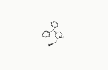 N#CCC1CN(C(c2ccccc2)c2ccccc2)CCN1